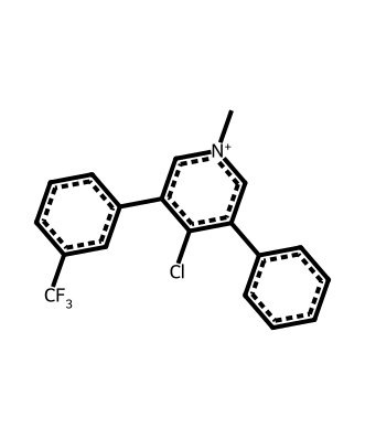 C[n+]1cc(-c2ccccc2)c(Cl)c(-c2cccc(C(F)(F)F)c2)c1